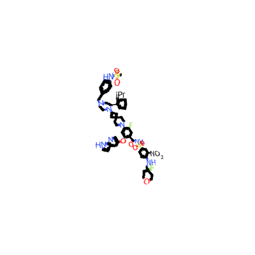 CC(C)c1ccccc1[C@@H]1CN(Cc2ccc(NS(C)(=O)=O)cc2)CCN1C1CC2(CCN(c3cc(Oc4cnc5[nH]ccc5c4)c(C(=O)NS(=O)(=O)c4ccc(NCC5(F)CCOCC5)c([N+](=O)[O-])c4)cc3F)CC2)C1